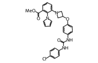 COC(=O)c1cccc(N2CC(Oc3ccc(NC(=O)Nc4ccc(Cl)cc4)cc3)C2)c1-n1cccc1